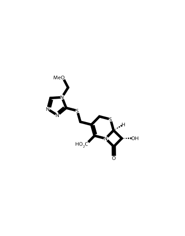 COCn1cnnc1SCC1=C(C(=O)O)N2C(=O)[C@@H](O)[C@@H]2SC1